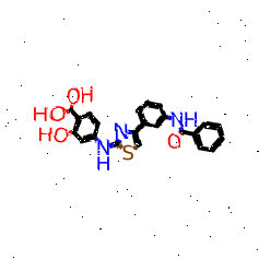 O=C(Nc1cccc(-c2csc(Nc3ccc(C(O)O)c(O)c3)n2)c1)c1ccccc1